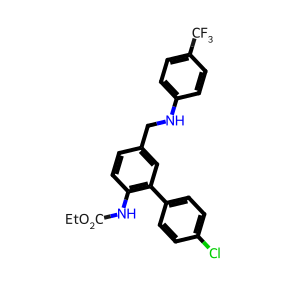 CCOC(=O)Nc1ccc(CNc2ccc(C(F)(F)F)cc2)cc1-c1ccc(Cl)cc1